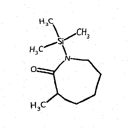 CC1CCCCN([Si](C)(C)C)C1=O